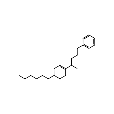 CCCCCCC1CC=C(C(C)CCCc2ccccc2)CC1